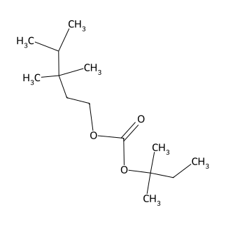 CCC(C)(C)OC(=O)OCCC(C)(C)C(C)C